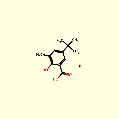 Cc1cc(C(C)(C)C)cc(C(=O)O)c1O.[Zn]